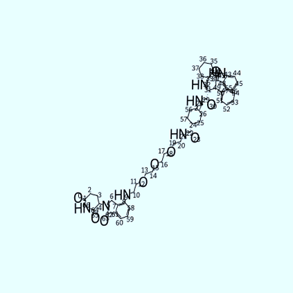 O=C1CCC(N2Cc3c(NCCOCCOCCOCCNC(=O)[C@H]4CC[C@H](NC(=O)[C@@H]5NC6(CCCCC6)[C@@]6(C(=O)Nc7ccccc76)[C@H]5c5ccccc5)CC4)cccc3C2=O)C(=O)N1